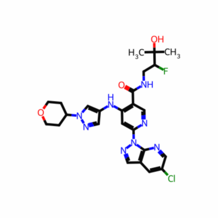 CC(C)(O)C(F)CNC(=O)c1cnc(-n2ncc3cc(Cl)cnc32)cc1Nc1cnn(C2CCOCC2)c1